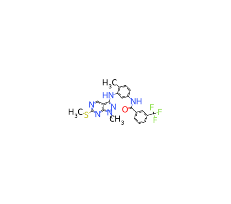 CSc1ncc2c(Nc3cc(NC(=O)c4cccc(C(F)(F)F)c4)ccc3C)nn(C)c2n1